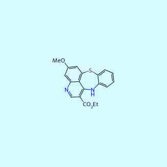 CCOC(=O)c1cnc2cc(OC)cc3c2c1Nc1ccccc1S3